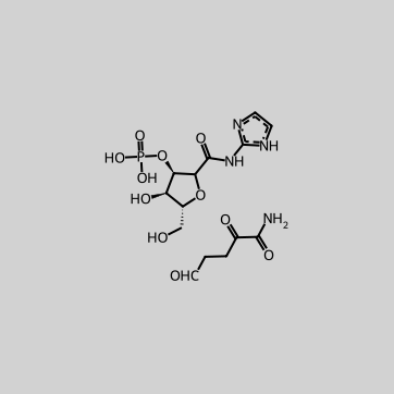 NC(=O)C(=O)CCC=O.O=C(Nc1ncc[nH]1)C1O[C@H](CO)[C@@H](O)[C@H]1OP(=O)(O)O